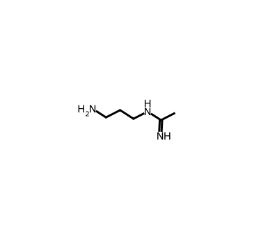 CC(=N)NCCCN